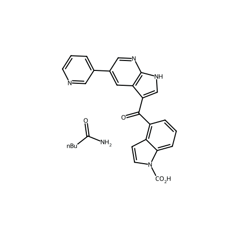 CCCCC(N)=O.O=C(c1c[nH]c2ncc(-c3cccnc3)cc12)c1cccc2c1ccn2C(=O)O